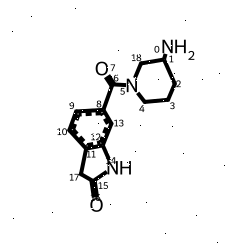 NC1CCCN(C(=O)c2ccc3c(c2)NC(=O)C3)C1